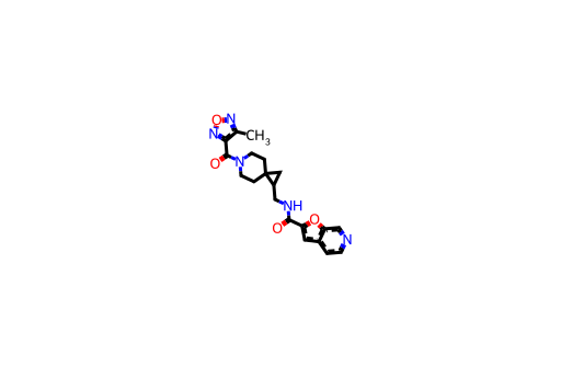 Cc1nonc1C(=O)N1CCC2(CC1)CC2CNC(=O)c1cc2ccncc2o1